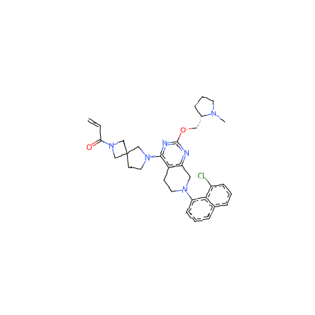 C=CC(=O)N1CC2(CCN(c3nc(OC[C@@H]4CCCN4C)nc4c3CCN(c3cccc5cccc(Cl)c35)C4)C2)C1